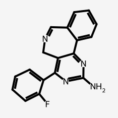 Nc1nc(-c2ccccc2F)c2c(n1)-c1ccccc1C=NC2